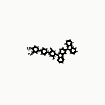 Cc1cc(-n2c3ccccc3c3cc(-n4c5ccccc5c5ccccc54)ccc32)c(C)cc1-c1ccc(-c2ccc(C(F)(F)F)c(C(F)(F)F)c2)cc1